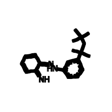 CC(C)(C)CC(C)(C)c1cccc(N/N=C2/C=CC=CC2=N)c1